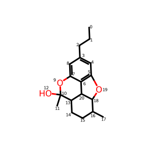 CCCc1cc2c3c(c1)OC(C)(O)C1CCC(C)C(O2)C31